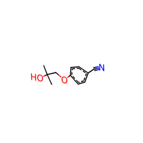 CC(C)(O)COc1ccc(C#N)cc1